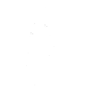 NC(c1ccc(F)cc1)C1(N2CCCC2)CCC1